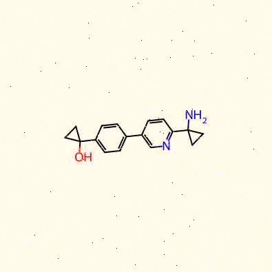 NC1(c2ccc(-c3ccc(C4(O)CC4)cc3)cn2)CC1